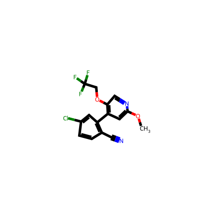 COc1cc(-c2cc(Cl)ccc2C#N)c(OCC(F)(F)F)cn1